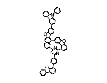 c1ccc(-c2nc(-c3ccc(-c4cccc5c4oc4ccccc45)cc3)nc(-c3cccc4oc5ccc(-c6cccc7oc8cc(-c9ccc%10c(c9)c9ccccc9n%10-c9ccccc9)ccc8c67)cc5c34)n2)cc1